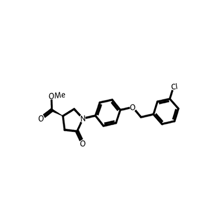 COC(=O)[C@@H]1CC(=O)N(c2ccc(OCc3cccc(Cl)c3)cc2)C1